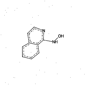 ONc1nccc2ccccc12